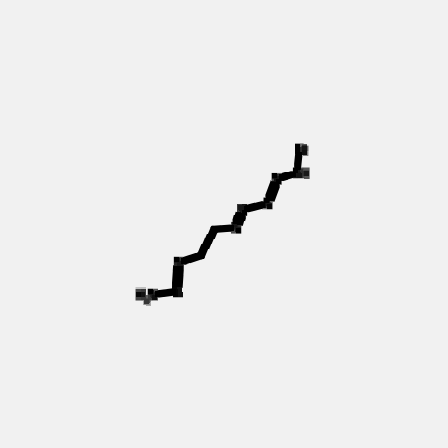 CCNN=NN=NCCN=NN